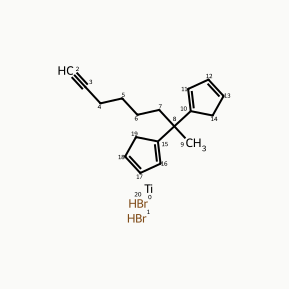 Br.Br.C#CCCCCC(C)(C1=CC=CC1)C1=CC=CC1.[Ti]